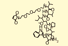 CCC(C)C(C(CC(=O)N1CCC[C@H]1C(OC)C(C)C(=O)NC(Cc1c[nH]c2ccccc12)C(N)=O)OC)N(C)C(=O)C(NC(=O)C(C(C)C)N(C)CCOCCOCCOCCN1C(=O)C=CC1=O)C(C)C